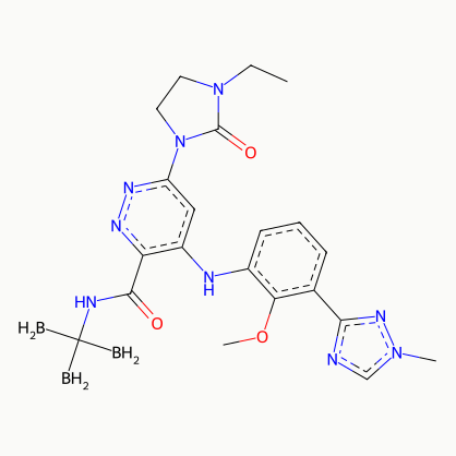 BC(B)(B)NC(=O)c1nnc(N2CCN(CC)C2=O)cc1Nc1cccc(-c2ncn(C)n2)c1OC